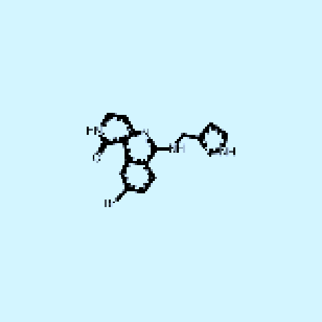 O=c1[nH]ccc2nc(NCc3cc[nH]n3)c3ccc(Br)cc3c12